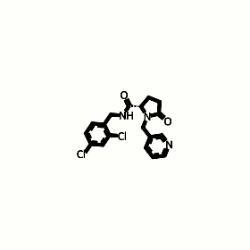 O=C(NCc1ccc(Cl)cc1Cl)[C@@H]1CCC(=O)N1Cc1cccnc1